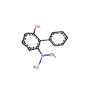 CN(C)c1cc[c]c(O)c1-c1ccccc1